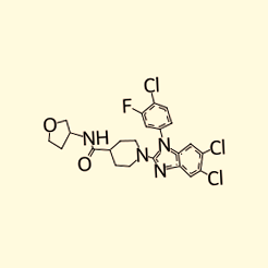 O=C(NC1CCOC1)C1CCN(c2nc3cc(Cl)c(Cl)cc3n2-c2ccc(Cl)c(F)c2)CC1